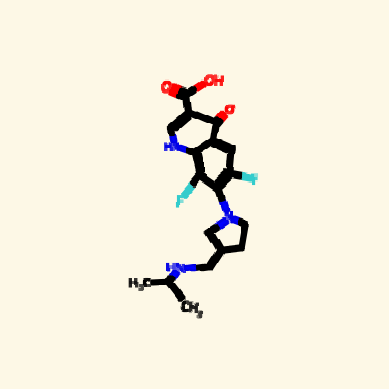 CC(C)NCC1CCN(c2c(F)cc3c(=O)c(C(=O)O)c[nH]c3c2F)C1